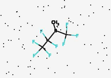 CB(C(F)(F)F)C(F)(F)C(F)(F)F